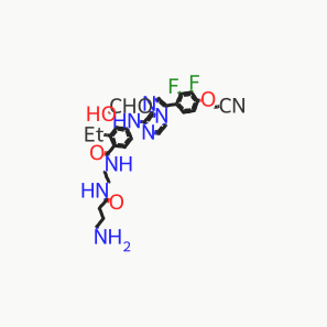 CCc1cc(Nc2nccn3c(-c4ccc(OCC#N)c(F)c4F)cnc23)ccc1C(=O)NCCNC(=O)CCCN.O=CO